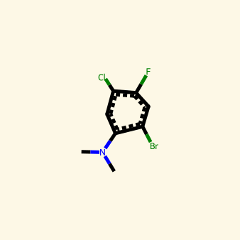 CN(C)c1cc(Cl)c(F)cc1Br